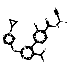 C[C@@H](C#N)NC(=O)c1ccc(-c2nc(Nc3cnn(C4CC4)c3)ncc2C(F)F)cc1F